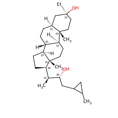 CC[C@]1(O)CC[C@@]2(C)[C@@H](CC[C@@H]3[C@@H]2CC[C@]2(C)[C@@H]([C@H](C)[C@H](O)CC4CC4C)CC[C@@H]32)C1